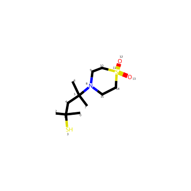 CC(C)(S)CC(C)(C)N1CCS(=O)(=O)CC1